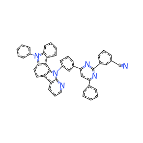 N#Cc1cccc(-c2nc(-c3ccccc3)cc(-c3cccc(-n4c5ncccc5c5ccc6c(c7ccccc7n6-c6ccccc6)c54)c3)n2)c1